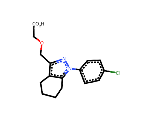 O=C(O)COCc1nn(-c2ccc(Cl)cc2)c2c1CCCC2